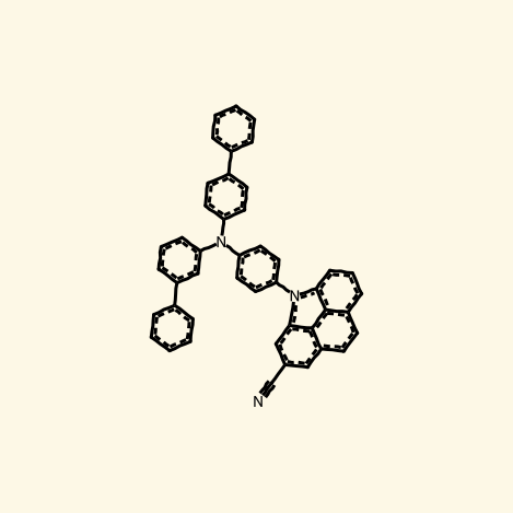 N#Cc1cc2ccc3cccc4c3c2c(c1)n4-c1ccc(N(c2ccc(-c3ccccc3)cc2)c2cccc(-c3ccccc3)c2)cc1